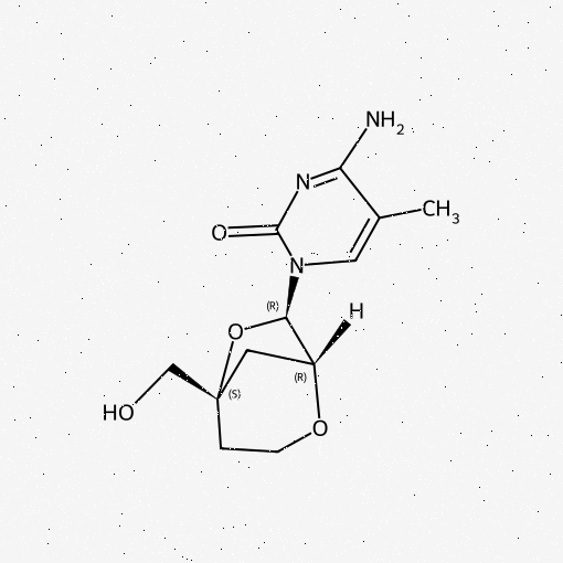 Cc1cn([C@@H]2O[C@@]3(CO)CCO[C@@H]2C3)c(=O)nc1N